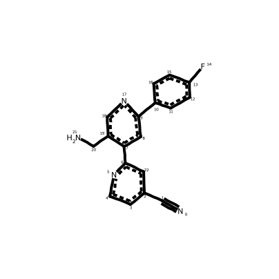 N#Cc1ccnc(-c2cc(-c3ccc(F)cc3)ncc2CN)c1